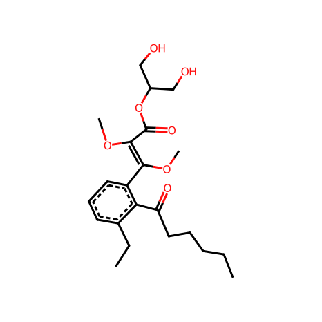 CCCCCC(=O)c1c(CC)cccc1C(OC)=C(OC)C(=O)OC(CO)CO